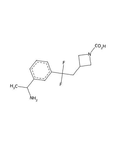 CC(N)c1cccc(C(F)(F)CC2CN(C(=O)O)C2)c1